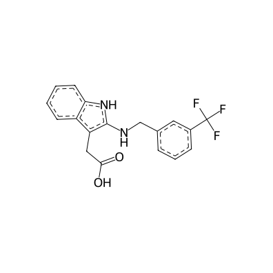 O=C(O)Cc1c(NCc2cccc(C(F)(F)F)c2)[nH]c2ccccc12